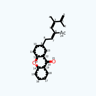 C=C(C)C(C)=CC(=CCc1ccc2oc3ccccc3c(=O)c2c1)C(C)=O